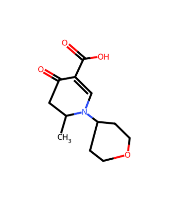 CC1CC(=O)C(C(=O)O)=CN1C1CCOCC1